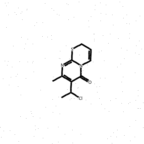 Cc1nc2n(c(=O)c1C(C)Cl)C=CCS2